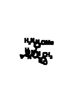 COc1cc(-c2nc(N=[SH](=O)C3CC3)cc(N3CCOC[C@H]3C)n2)cc(N)n1